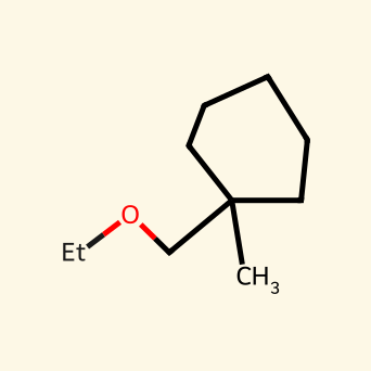 CCOCC1(C)CCCCC1